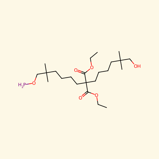 CCOC(=O)C(CCCCC(C)(C)CO)(CCCCC(C)(C)COP)C(=O)OCC